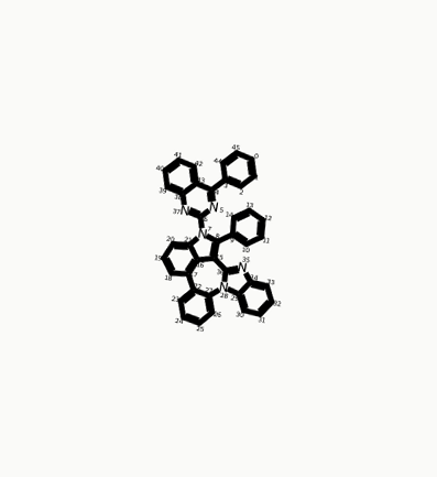 c1ccc(-c2nc(-n3c(-c4ccccc4)c4c5c(cccc53)c3ccccc3n3c5ccccc5nc43)nc3ccccc23)cc1